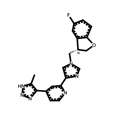 Cc1[nH]nnc1-c1ccnc(-c2cn(C[C@H]3COc4ccc(F)cc43)cn2)c1